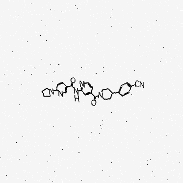 N#Cc1ccc(C2CCN(C(=O)c3ccnc(NC(=O)c4ccc(N5CCCC5)nc4)c3)CC2)cc1